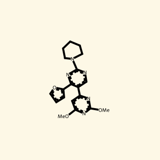 COc1cc(-c2cnc(N3CCCCC3)nc2-c2ccco2)nc(OC)n1